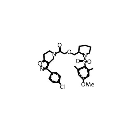 COc1cc(C)c(S(=O)(=O)N2CCCCC2COCC(=O)N2CCc3onc(-c4ccc(Cl)cc4)c3C2)c(C)c1